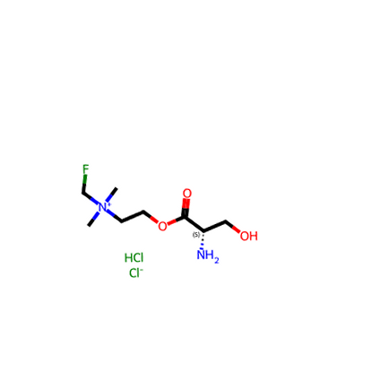 C[N+](C)(CF)CCOC(=O)[C@@H](N)CO.Cl.[Cl-]